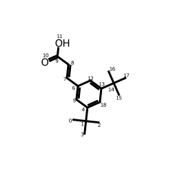 CC(C)(C)c1cc(C=CC(=O)O)cc(C(C)(C)C)c1